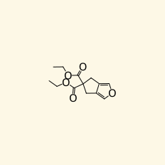 CCOC(=O)C1(C(=O)OCC)Cc2cocc2C1